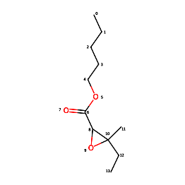 CCCCCOC(=O)C1OC1(C)CC